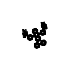 c1ccc(-c2ccccc2-c2ccc3c(-c4cccc(-c5cncs5)c4)c4ccccc4c(-c4cccc(-c5cncs5)c4)c3c2)cc1